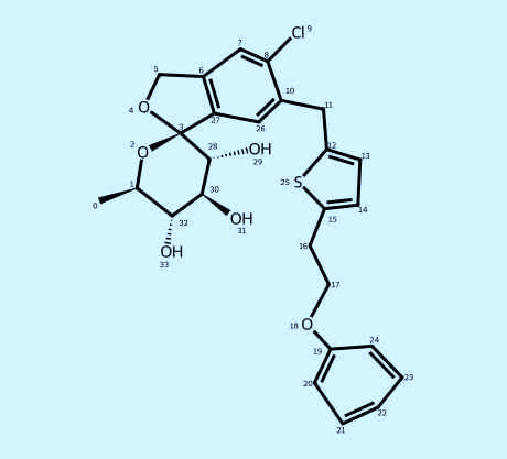 C[C@H]1O[C@]2(OCc3cc(Cl)c(Cc4ccc(CCOc5ccccc5)s4)cc32)[C@H](O)[C@@H](O)[C@@H]1O